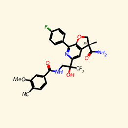 COc1cc(C(=O)NCC(O)(c2cc3c(c(-c4ccc(F)cc4)n2)OC[C@]3(C)C(N)=O)C(F)(F)F)ccc1C#N